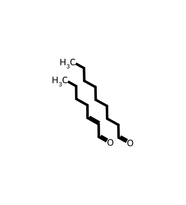 CCCCC=CC=O.CCCCCCCCC=O